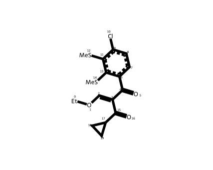 CCOC=C(C(=O)c1ccc(Cl)c(SC)c1SC)C(=O)C1CC1